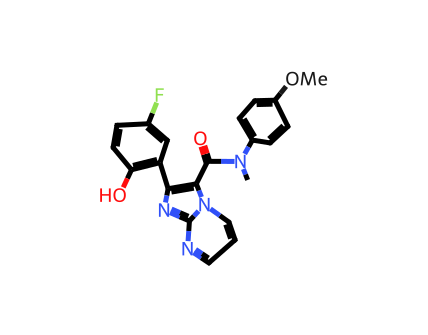 COc1ccc(N(C)C(=O)c2c(-c3cc(F)ccc3O)nc3ncccn23)cc1